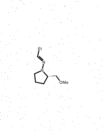 CC/C=N/N1CCC[C@H]1COC